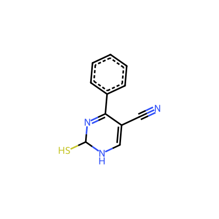 N#CC1=CNC(S)N=C1c1ccccc1